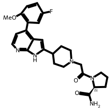 COc1ccc(F)cc1-c1ccnc2[nH]c(C3CCN(CC(=O)N4CCC[C@H]4C(N)=O)CC3)cc12